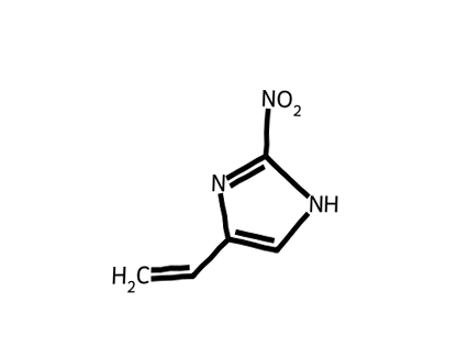 C=Cc1c[nH]c([N+](=O)[O-])n1